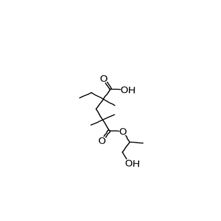 CCC(C)(CC(C)(C)C(=O)OC(C)CO)C(=O)O